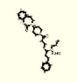 CC(C)CCN(C=O)C(CCc1ccccc1)SCCC(=O)N1CCC(N2CCc3ccccc3NC2=O)CC1